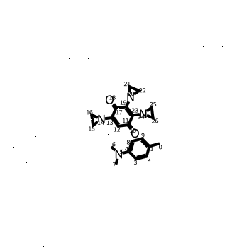 Cc1ccc(N(C)C)cc1.O=C1C=C(N2CC2)C(=O)C(N2CC2)=C1N1CC1